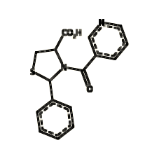 O=C(O)C1CSC(c2ccccc2)N1C(=O)c1cccnc1